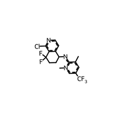 Cc1cc(C(F)(F)F)cn(C)/c1=N\C1CCC(F)(F)c2c1ccnc2Cl